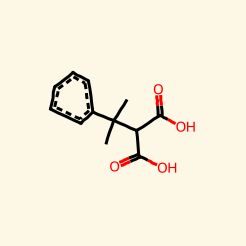 CC(C)(c1ccccc1)C(C(=O)O)C(=O)O